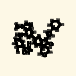 CNC(O)c1cc(Nc2nc(-c3ccc4c(c3)N([C@H]3C[C@@H](N5CCCCC5)C3)C(=O)C43CCOCC3)cc3ncn(C4CC4)c23)ccc1C